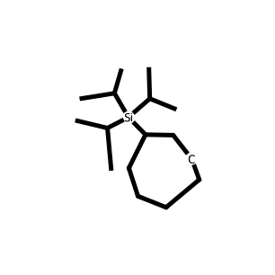 CC(C)[Si](C(C)C)(C(C)C)C1CCCCCC1